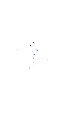 COCOc1ccccc1-c1cc2c(Br)c([C@@H]3CCN(C(=O)OC(C)(C)C)C3)n(COCC[Si](C)(C)C)c2nn1